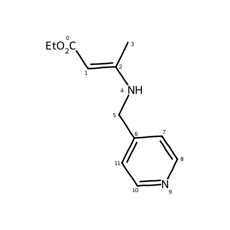 CCOC(=O)C=C(C)NCc1ccncc1